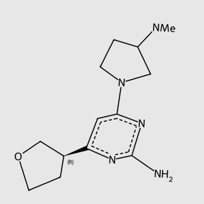 CNC1CCN(c2cc([C@H]3CCOC3)nc(N)n2)C1